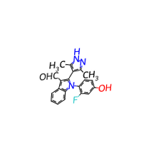 Cc1n[nH]c(C)c1-c1c(C=O)c2ccccc2n1-c1ccc(O)cc1F